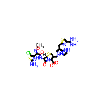 CO/N=C(\C(=O)N[C@@H]1C(=O)N2C(C(=O)[O-])=C(C[n+]3cc(Cc4nc(C(=N)N)cs4)c4[nH]ccn43)CS[C@H]12)c1nc(N)sc1Cl